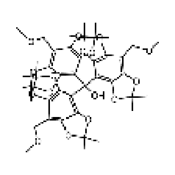 COCc1c2c(c(C(O)(c3c4c(c(COC)c5c3OC(C)(C)O5)OC(C)(C)O4)c3c4c(c(COC)c5c3OC(C)(C)O5)OC(C)(C)O4)c3c1OC(C)(C)O3)OC(C)(C)O2